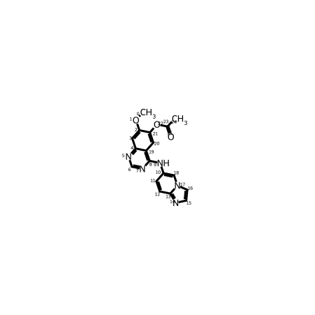 COc1cc2ncnc(Nc3ccc4nccn4c3)c2cc1OC(C)=O